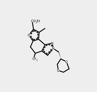 CCOC(=O)c1oc2c(c1C)-c1nn(C[C@H]3COCCO3)cc1C(C(F)(F)F)C2